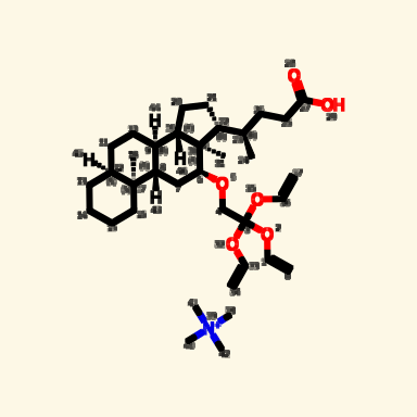 C=COC(CO[C@H]1C[C@H]2[C@@H](CC[C@@H]3CCCC[C@@]32C)[C@@H]2CC[C@H]([C@H](C)CCC(=O)O)[C@@]12C)(OC=C)OC=C.C[N+](C)(C)C